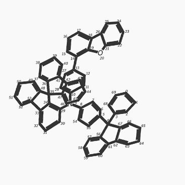 c1ccc(C2(c3ccc(N(c4ccc(-c5cccc6c5oc5ccccc56)cc4)c4cccc5c4C4(c6ccccc6-c6ccccc64)c4ccccc4-5)cc3)c3ccccc3-c3ccccc32)cc1